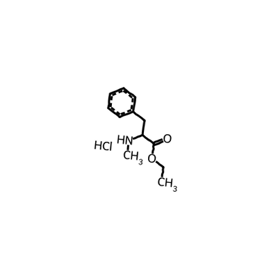 CCOC(=O)C(Cc1ccccc1)NC.Cl